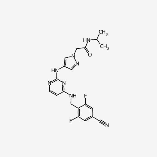 CC(C)NC(=O)Cn1cc(Nc2nccc(NCc3c(F)cc(C#N)cc3F)n2)cn1